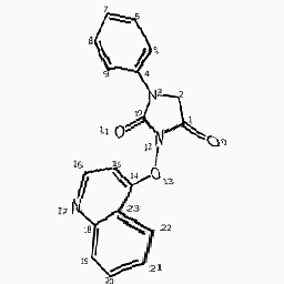 O=C1CN(c2ccccc2)C(=O)N1Oc1ccnc2ccccc12